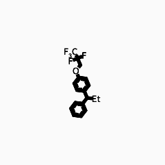 CCC(c1ccccc1)c1ccc(OCC(F)(F)C(F)(F)F)cc1